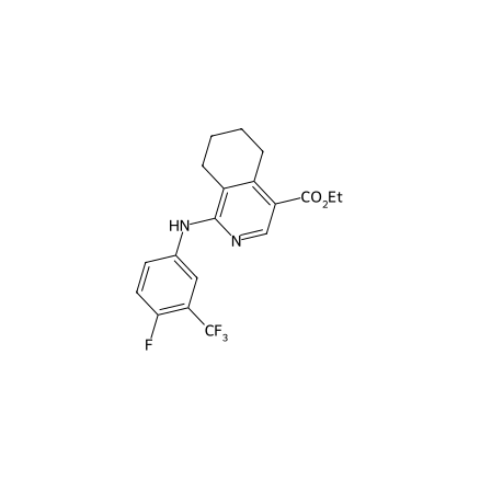 CCOC(=O)c1cnc(Nc2ccc(F)c(C(F)(F)F)c2)c2c1CCCC2